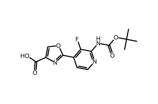 CC(C)(C)OC(=O)Nc1nccc(-c2nc(C(=O)O)co2)c1F